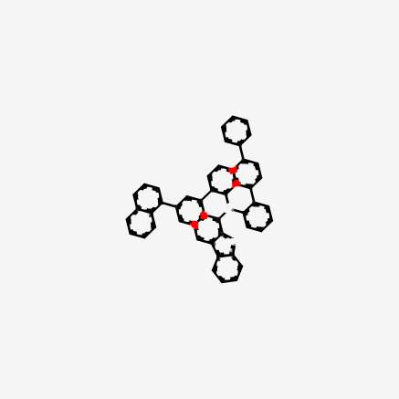 c1ccc(-c2ccc(-c3ccccc3N(c3ccccc3-c3cccc(-c4cccc5ccccc45)c3)c3cccc4c3sc3ccccc34)cc2)cc1